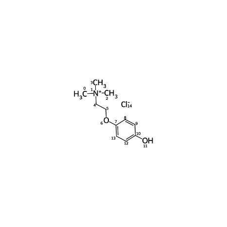 C[N+](C)(C)CCOc1ccc(O)cc1.[Cl-]